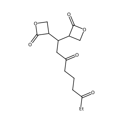 CCC(=O)CCCC(=O)CC(C1COC1=O)C1COC1=O